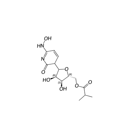 CC(C)C(=O)OC[C@H]1OC(C2C=CC(NO)=NC2=O)[C@H](O)[C@@H]1O